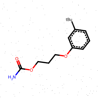 CC(C)(C)c1cccc(OCCCOC(N)=O)c1